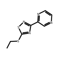 CCSc1nc(-c2cnccn2)ns1